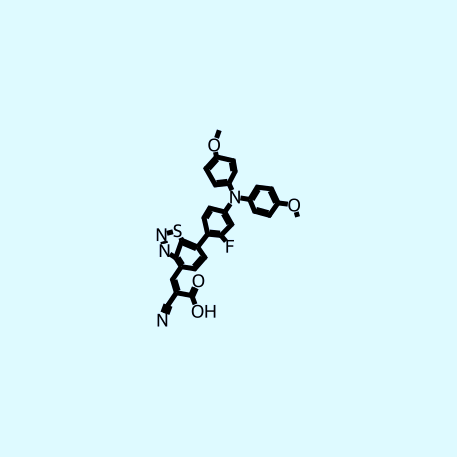 COc1ccc(N(c2ccc(OC)cc2)c2ccc(-c3ccc(C=C(C#N)C(=O)O)c4nnsc34)c(F)c2)cc1